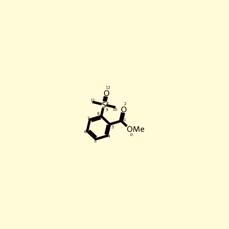 COC(=O)c1ccccc1[S+](C)(C)=O